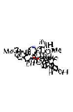 COC(=O)NC1=C2C#C/C=C\C#C[C@H](OC3OC(C)C(SC)(C(=O)C4=NCCc5c4[nH]c4ccc(O)cc54)C(O)C3OC3CC(OC)C(NC(C)C)CO3)C2/C(=C\CSC(C)=O)[C@@H](O)CC1=O